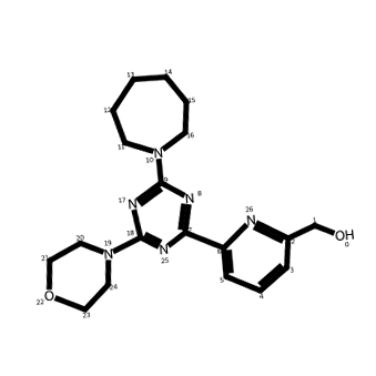 OCc1cccc(-c2nc(N3CCCCCC3)nc(N3CCOCC3)n2)n1